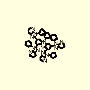 c1ccc(N2c3cc(-c4nc5cccnc5n4-c4ccccc4)cc(-c4nc5cccnc5n4-c4ccccc4)c3Sc3c(-c4nc5cccnc5n4-c4ccccc4)cc(-c4nc5cccnc5n4-c4ccccc4)cc32)cc1